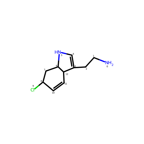 NCCC1=CNC2CC(Cl)C=CC12